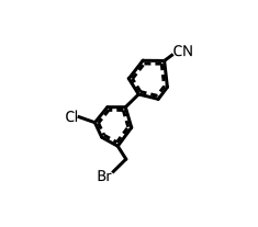 N#Cc1ccc(-c2cc(Cl)cc(CBr)c2)cc1